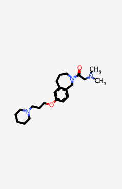 CN(C)CC(=O)N1CCCc2cc(OCCCN3CCCCC3)ccc2C1